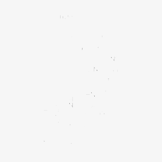 CCCCCCCCCCc1ccc(-c2noc(CNC(=O)[C@H](Cc3ccccc3)NC(=O)O)n2)cc1